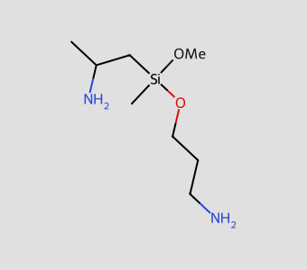 CO[Si](C)(CC(C)N)OCCCN